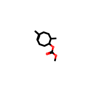 COC(=O)OC1CCC=C(C)CCC1C